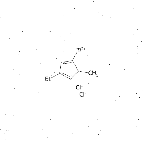 CCC1=CC(C)[C]([Ti+2])=C1.[Cl-].[Cl-]